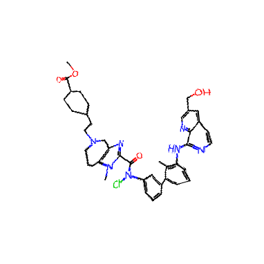 COC(=O)C1CCC(CCN2CCc3c(nc(C(=O)N(Cl)c4cccc(-c5cccc(Nc6nccc7cc(CO)cnc67)c5C)c4)n3C)C2)CC1